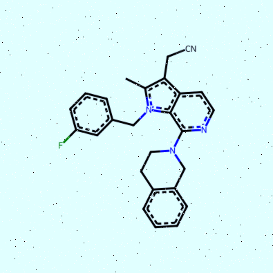 Cc1c(CC#N)c2ccnc(N3CCc4ccccc4C3)c2n1Cc1cccc(F)c1